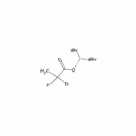 CCC(C)C(OC(=O)C(C)(F)CC)C(C)CC